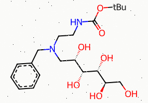 CC(C)(C)OC(=O)NCCN(Cc1ccccc1)C[C@H](O)[C@@H](O)[C@H](O)[C@H](O)CO